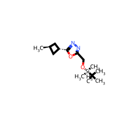 CC(C)(C)[Si](C)(C)OCc1nnc([C@H]2C[C@H](C)C2)o1